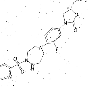 NC[C@H]1CN(c2ccc(N3CCNN(S(=O)(=O)c4ccccn4)CC3)c(F)c2)C(=O)O1